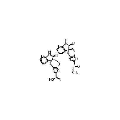 COC(=O)c1nc2c(o1)CCC1(C2)C(=O)Nc2ncccc21.O=C(O)c1nc2c(o1)CCC1(C2)C(=O)Nc2ncccc21